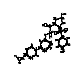 O=C(NCc1cc(-c2ccc(C3CC3)nc2)ncn1)C1CC(F)CN1S(=O)(=O)c1ccc(F)cc1